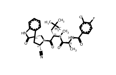 C[C@H](NC(=O)c1ccc(F)c(Cl)c1)C(=O)N(C)[C@@H](CC(C)(C)C)C(=O)N1C[C@]2(C[C@H]1C#N)C(=O)Nc1ccccc12